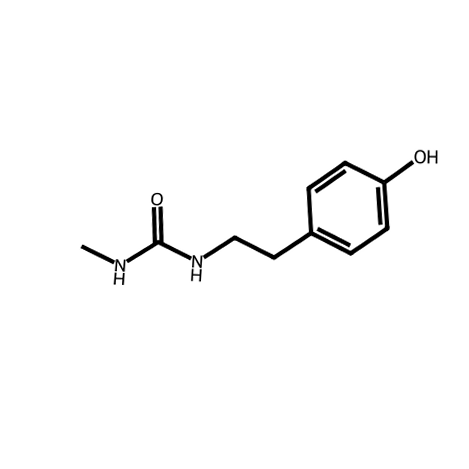 CNC(=O)NCCc1ccc(O)cc1